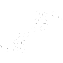 C=Cc1ccc(Oc2ccc(C3(c4cc(F)c(F)cc4F)c4ccccc4-c4ccc(N(c5ccc(F)cc5)c5ccc(-c6ccc(N(c7ccc(F)cc7)c7ccc8c(c7)C(c7ccc(Oc9ccc(C=C)cc9)cc7)(c7cc(F)c(F)cc7F)c7ccccc7-8)cc6)cc5)cc43)cc2)cc1